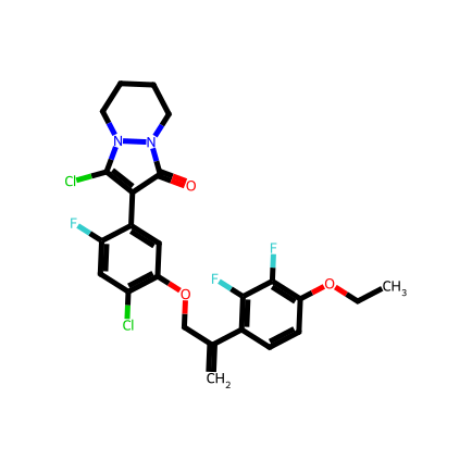 C=C(COc1cc(-c2c(Cl)n3n(c2=O)CCCC3)c(F)cc1Cl)c1ccc(OCC)c(F)c1F